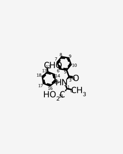 C[C@H](NC(=O)c1ccccc1)C(=O)O.O=Cc1ccccc1